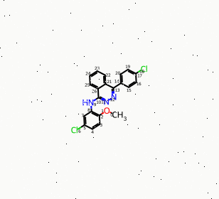 COc1ccc(Cl)cc1Nc1nnc(-c2ccc(Cl)cc2)c2ccccc12